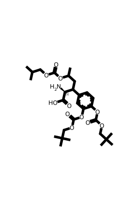 CC(C)COC(=O)OC(C)CC(c1ccc(OC(=O)OCC(C)(C)C)c(OC(=O)OCC(C)(C)C)c1)[C@H](N)C(=O)O